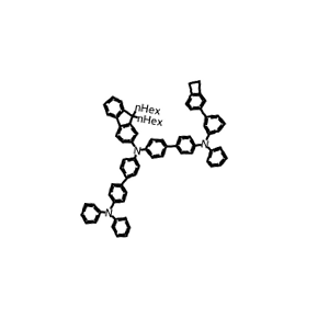 CCCCCCC1(CCCCCC)c2ccccc2-c2ccc(N(c3ccc(-c4ccc(N(c5ccccc5)c5ccccc5)cc4)cc3)c3ccc(-c4ccc(N(c5ccccc5)c5cccc(-c6ccc7c(c6)CC7)c5)cc4)cc3)cc21